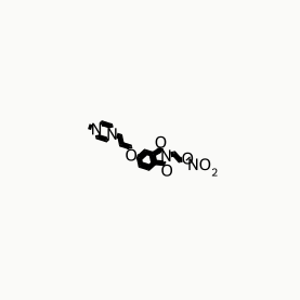 CN1CCN(CCCOc2ccc3c(c2)C(=O)N(CCO[N+](=O)[O-])C3=O)CC1